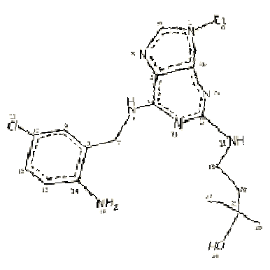 CCn1cnc2c(NCc3cc(Cl)ccc3N)nc(NCCC(C)(C)O)nc21